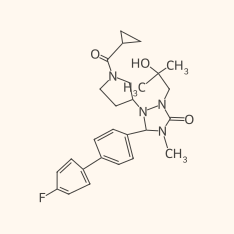 CN1C(=O)N(CC(C)(C)O)N(C2CCN(C(=O)C3CC3)C2)C1c1ccc(-c2ccc(F)cc2)cc1